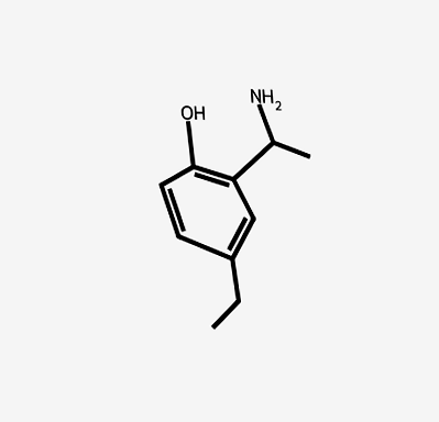 CCc1ccc(O)c(C(C)N)c1